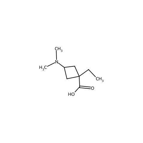 CCC1(C(=O)O)CC(N(C)C)C1